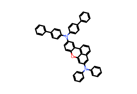 c1ccc(-c2ccc(N(c3ccc(-c4ccccc4)cc3)c3ccc4c(c3)-c3cccc5cc(N(c6ccccc6)c6ccccc6)cc(c35)O4)cc2)cc1